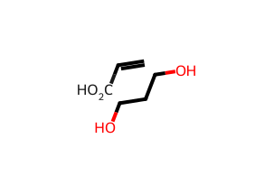 C=CC(=O)O.OCCCO